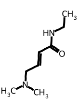 CCNC(=O)C=CCN(C)C